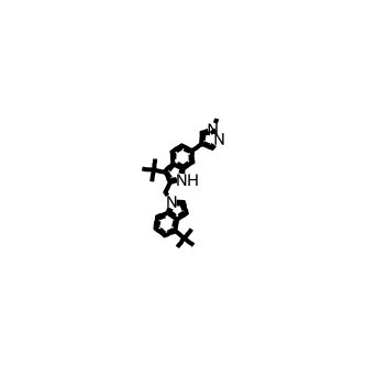 Cn1cc(-c2ccc3c(C(C)(C)C)c(Cn4ccc5c(C(C)(C)C)cccc54)[nH]c3c2)cn1